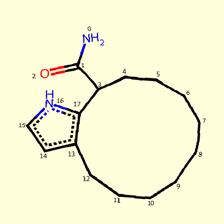 NC(=O)C1CCCCCCCCCc2cc[nH]c21